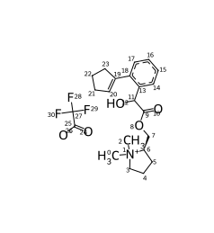 C[N+]1(C)CCC[C@@H]1COC(=O)C(O)c1ccccc1C1=CCCC1.O=C([O-])C(F)(F)F